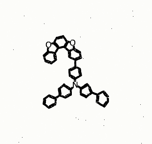 c1ccc(-c2ccc(N(c3ccc(-c4ccccc4)cc3)c3ccc(-c4ccc5oc6ccc7oc8ccccc8c7c6c5c4)cc3)cc2)cc1